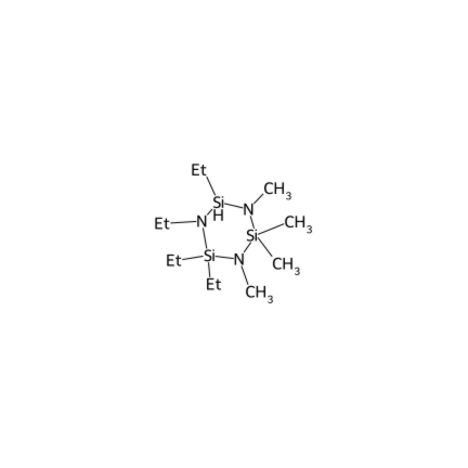 CCN1[SiH](CC)N(C)[Si](C)(C)N(C)[Si]1(CC)CC